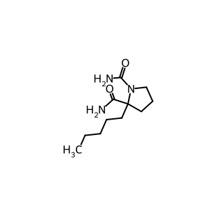 CCCCCC1(C(N)=O)CCCN1C(N)=O